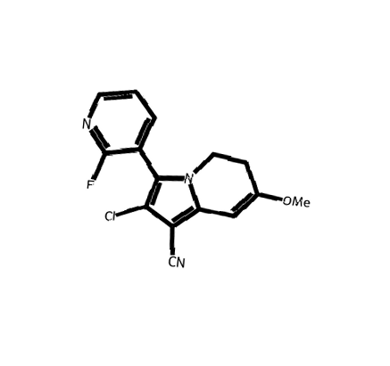 COC1=Cc2c(C#N)c(Cl)c(-c3cccnc3F)n2CC1